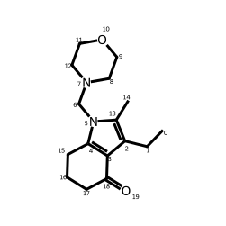 CCc1c2c(n(CN3CCOCC3)c1C)CCCC2=O